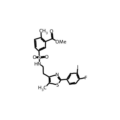 COC(=O)c1cc(S(=O)(=O)NCCc2nc(-c3ccc(F)c(I)c3)sc2C)ccc1C